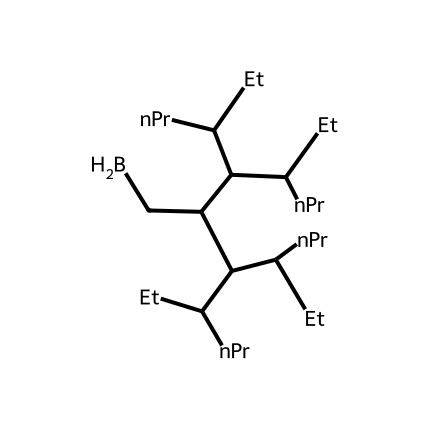 BCC(C(C(CC)CCC)C(CC)CCC)C(C(CC)CCC)C(CC)CCC